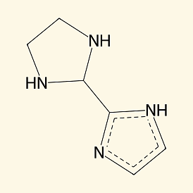 c1c[nH]c(C2NCCN2)n1